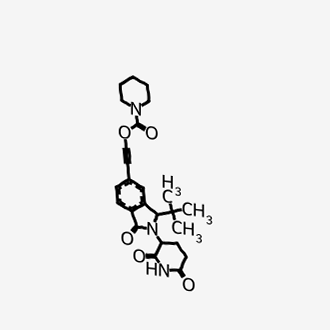 CC(C)(C)C1c2cc(C#COC(=O)N3CCCCC3)ccc2C(=O)N1C1CCC(=O)NC1=O